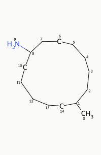 CC1CCCCCCC(N)CCCCC1